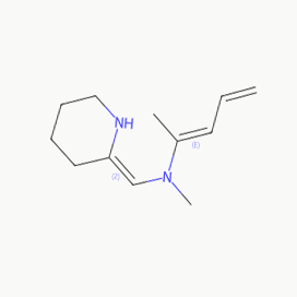 C=C/C=C(\C)N(C)/C=C1/CCCCN1